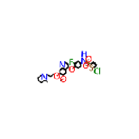 COc1cc2c(Oc3ccc(NS(=O)(=O)c4ccc(Cl)s4)cc3F)ccnc2cc1OCCCN1CCCCC1C